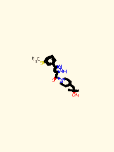 CC(C)(O)CC1CCN(C(=O)c2cc(-c3cccc(SC(F)(F)F)c3)n[nH]2)CC1